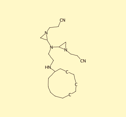 N#CCCN1CC1N(CCNC1CCCCCCCCCCC1)C1CN1CCC#N